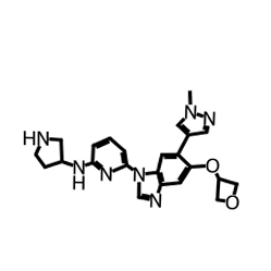 Cn1cc(-c2cc3c(cc2OC2COC2)ncn3-c2cccc(NC3CCNC3)n2)cn1